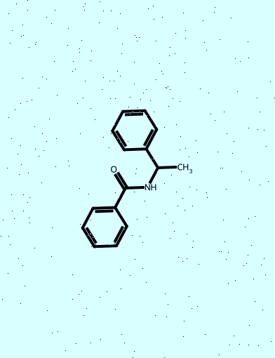 CC(NC(=O)c1cc[c]cc1)c1ccccc1